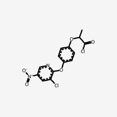 CC(Oc1ccc(Oc2ncc([N+](=O)[O-])cc2Cl)cc1)C(=O)Cl